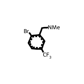 CNCc1cc(C(F)(F)F)ccc1Br